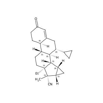 CC[C@]12CC[C@H]3[C@H]([C@@H]1[C@@H]1C[C@@H]1[C@]2(C)C#N)[C@@H](C1CC1)CC1=CC(=O)CC[C@@H]13